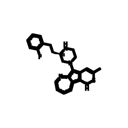 CC1=Cc2c(c3ccccnc-3c2N2CCN[C@@H](CCc3ccccc3F)C2)NS1